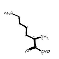 CNCCCCC(N)C(=O)C=O